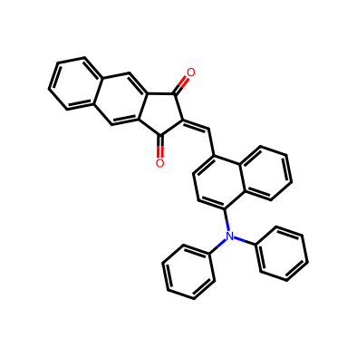 O=C1C(=Cc2ccc(N(c3ccccc3)c3ccccc3)c3ccccc23)C(=O)c2cc3ccccc3cc21